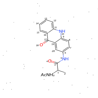 CC(=O)NC(C)C(=O)Nc1ccc2[nH]c3ccccc3c(=O)c2c1